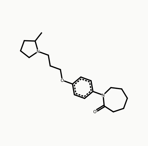 CC1CCCN1CCCOc1ccc(N2CCCCCC2=O)cc1